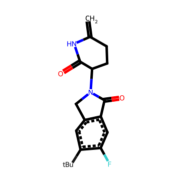 C=C1CCC(N2Cc3cc(C(C)(C)C)c(F)cc3C2=O)C(=O)N1